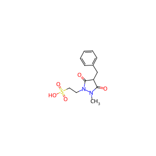 CN1C(=O)C(Cc2ccccc2)C(=O)N1CCS(=O)(=O)O